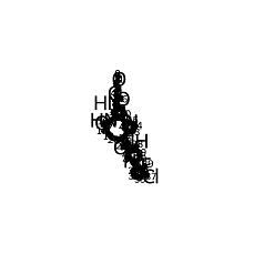 COCCOC(=O)Nc1ccc2c(c1)NC(=O)[C@H](C)CCC[C@H](NC(=O)C1=C(C)CCC(c3cccc(Cl)c3F)N=C1)c1ccnc-2c1